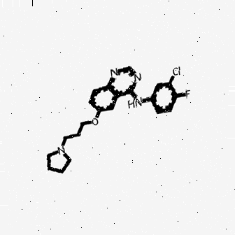 Fc1ccc(Nc2ncnc3ccc(OCCCN4CCCC4)cc23)cc1Cl